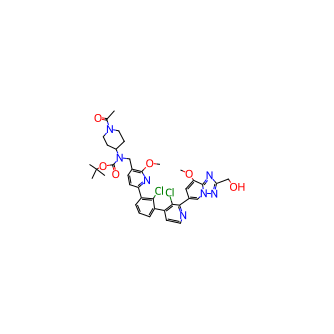 COc1nc(-c2cccc(-c3ccnc(-c4cc(OC)c5nc(CO)nn5c4)c3Cl)c2Cl)ccc1CN(C(=O)OC(C)(C)C)C1CCN(C(C)=O)CC1